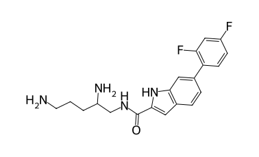 NCCCC(N)CNC(=O)c1cc2ccc(-c3ccc(F)cc3F)cc2[nH]1